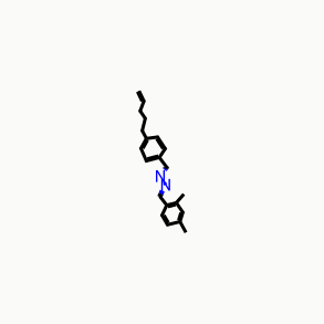 C=CCCCc1ccc(C=NN=Cc2ccc(C)cc2C)cc1